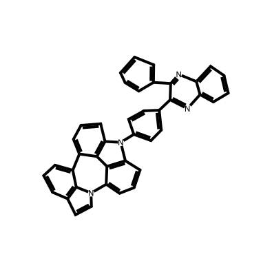 c1ccc(-c2nc3ccccc3nc2-c2ccc(-n3c4cccc5c6cccc7ccn(c8cccc3c8c54)c76)cc2)cc1